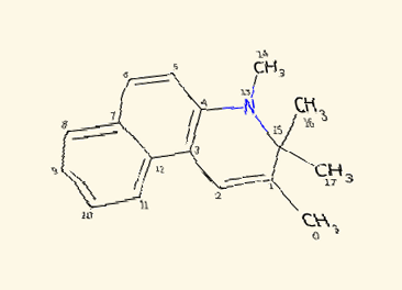 CC1=Cc2c(ccc3ccccc23)N(C)C1(C)C